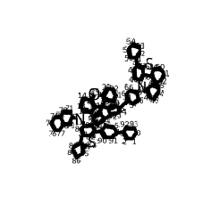 c1ccc(-c2ccc(-c3cc(N(c4ccc5c(c4)C4(c6ccccc6O5)c5ccccc5-c5ccc(-c6ccc(N(c7ccccc7)c7ccc(-c8ccccc8)c8sc9ccccc9c78)cc6)cc54)c4ccc5ccccc5c4)cc4c3sc3ccccc34)cc2)cc1